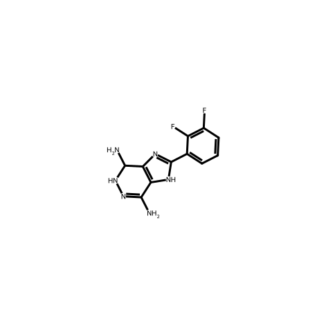 NC1=NNC(N)c2nc(-c3cccc(F)c3F)[nH]c21